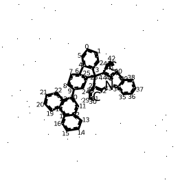 c1ccc2c(c1)-c1ccc(-c3cc4ccccc4c4ccccc34)cc1C21c2ccccc2-n2c3ccccc3c3cccc1c32